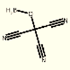 BOC(C#N)(C#N)C#N